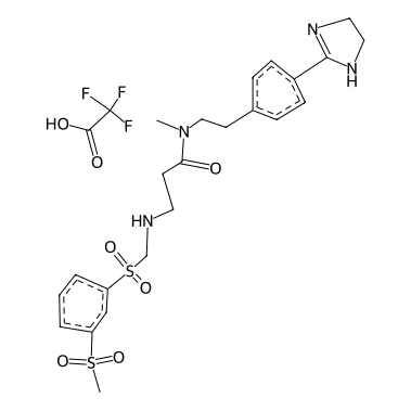 CN(CCc1ccc(C2=NCCN2)cc1)C(=O)CCNCS(=O)(=O)c1cccc(S(C)(=O)=O)c1.O=C(O)C(F)(F)F